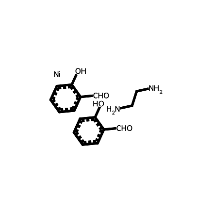 NCCN.O=Cc1ccccc1O.O=Cc1ccccc1O.[Ni]